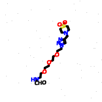 O=CNCCOCCOCCOCCn1cc(CN2CCS(=O)(=O)CC2)nn1